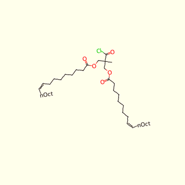 CCCCCCCC/C=C\CCCCCCCC(=O)OCC(C)(COC(=O)CCCCCCC/C=C\CCCCCCCC)C(=O)Cl